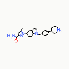 Cc1cc(C(N)=O)nn1-c1ccc2c(ccn2Cc2ccc(C3=CCCN(C)CC3)cc2)c1